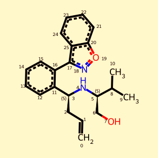 C=CC[C@H](N[C@H](CO)C(C)C)c1ccccc1-c1noc2ccccc12